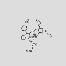 COCCC(=O)N1CCN2C(C(c3ccccc3)c3ccccc3)CN(Cc3c(OC)nc(OCCF)nc3OCC(F)(F)F)C[C@@H]2C1.Cl.Cl